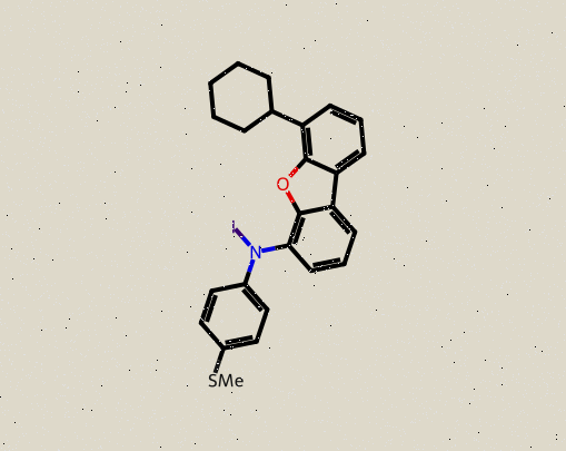 CSc1ccc(N(I)c2cccc3c2oc2c(C4CCCCC4)cccc23)cc1